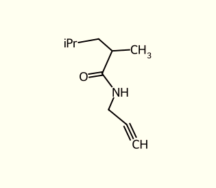 C#CCNC(=O)C(C)CC(C)C